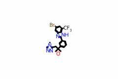 Cn1cnnc1CC1(c2cccc(-c3nc4cc(Br)cc(C(F)(F)F)c4[nH]3)c2)COC1